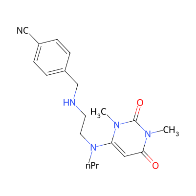 CCCN(CCNCc1ccc(C#N)cc1)c1cc(=O)n(C)c(=O)n1C